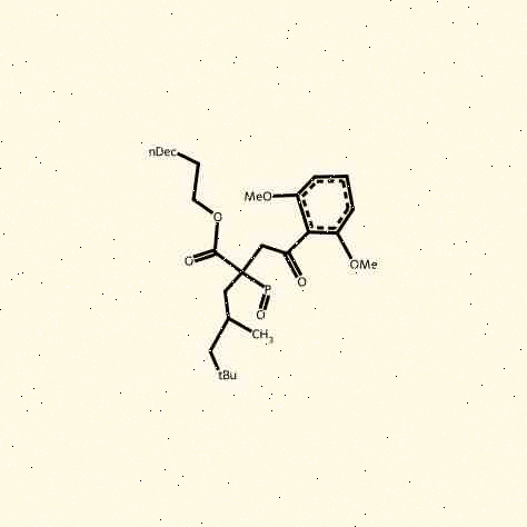 CCCCCCCCCCCCOC(=O)C(CC(=O)c1c(OC)cccc1OC)(CC(C)CC(C)(C)C)P=O